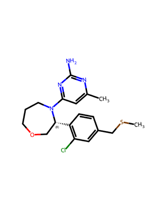 CSCc1ccc([C@@H]2COCCCN2c2cc(C)nc(N)n2)c(Cl)c1